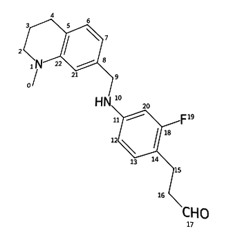 CN1CCCc2ccc(CNc3ccc(CCC=O)c(F)c3)cc21